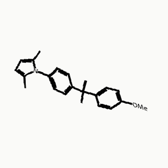 COc1ccc(C(C)(C)c2ccc(-n3c(C)ccc3C)cc2)cc1